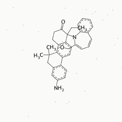 CCC1(N2C(C[O])=CC=Cc3ccccc32)C(=O)CCc2c1ccc1c2C(C)(C)Cc2cc(N)ccc2-1